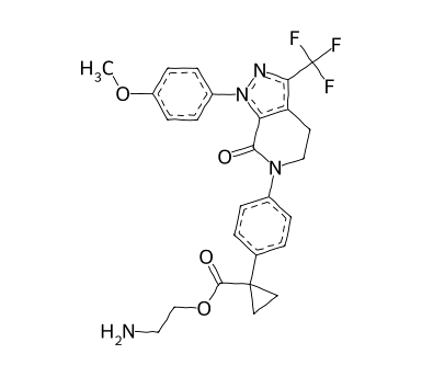 COc1ccc(-n2nc(C(F)(F)F)c3c2C(=O)N(c2ccc(C4(C(=O)OCCN)CC4)cc2)CC3)cc1